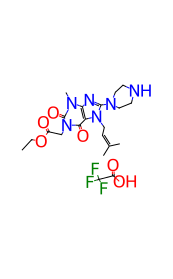 CCOC(=O)Cn1c(=O)c2c(nc(N3CCNCC3)n2CC=C(C)C)n(C)c1=O.O=C(O)C(F)(F)F